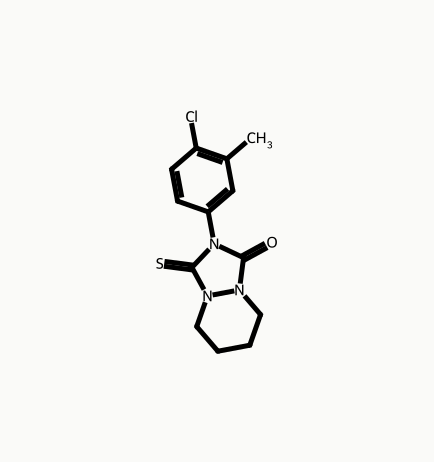 Cc1cc(-n2c(=O)n3n(c2=S)CCCC3)ccc1Cl